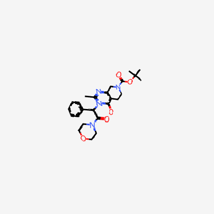 Cc1nc2c(c(=O)n1C(C(=O)N1CCOCC1)c1ccccc1)CCN(C(=O)OC(C)(C)C)C2